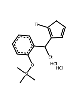 CCC(C1=[C]([Ti])CC=C1)c1ccccc1O[Si](C)(C)C.Cl.Cl